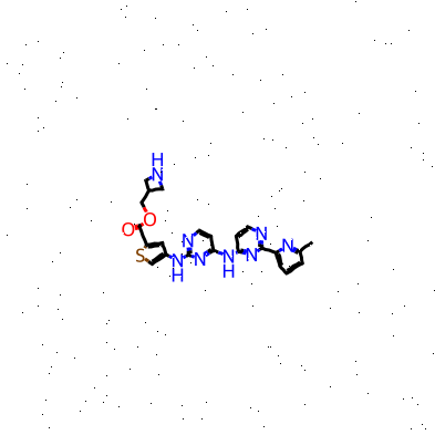 Cc1cccc(-c2nccc(Nc3ccnc(Nc4csc(C(=O)OCC5CNC5)c4)n3)n2)n1